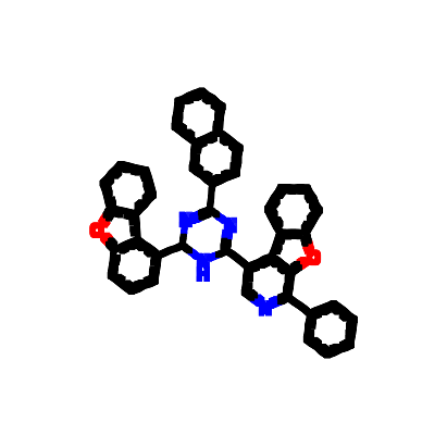 c1ccc(-c2ncc(C3=NC(c4ccc5ccccc5c4)=NC(c4cccc5oc6ccccc6c45)N3)c3c2oc2ccccc23)cc1